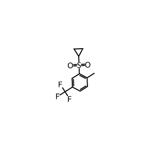 Cc1ccc(C(F)(F)F)cc1S(=O)(=O)C1CC1